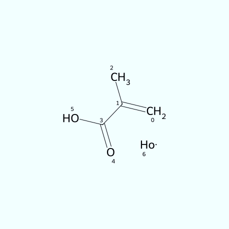 C=C(C)C(=O)O.[Ho]